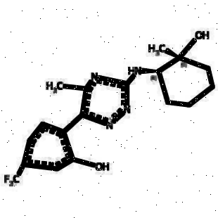 Cc1nc(N[C@@H]2CCCC[C@@]2(C)O)nnc1-c1ccc(C(F)(F)F)cc1O